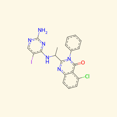 CC(Nc1nc(N)ncc1I)c1nc2cccc(Cl)c2c(=O)n1-c1ccccc1